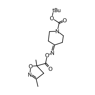 CC1=NOC(C)(C(=O)ON=C2CCN(C(=O)OC(C)(C)C)CC2)C1